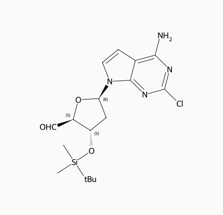 CC(C)(C)[Si](C)(C)O[C@H]1C[C@H](n2ccc3c(N)nc(Cl)nc32)O[C@@H]1C=O